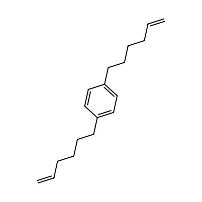 C=CCCCCc1ccc(CCCCC=C)cc1